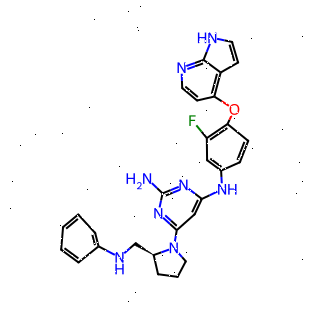 Nc1nc(Nc2ccc(Oc3ccnc4[nH]ccc34)c(F)c2)cc(N2CCC[C@H]2CNc2ccccc2)n1